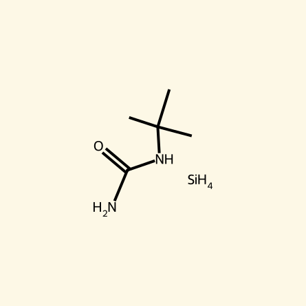 CC(C)(C)NC(N)=O.[SiH4]